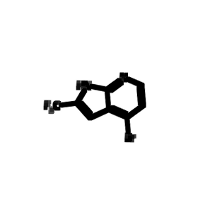 FC(F)(F)c1cc2c(Br)ccnc2[nH]1